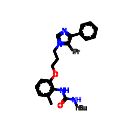 CCCCNC(=O)Nc1c(C)cccc1OCCCn1cnc(-c2ccccc2)c1C(C)C